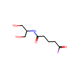 O=C(I)CCCC(=O)NC(CO)CO